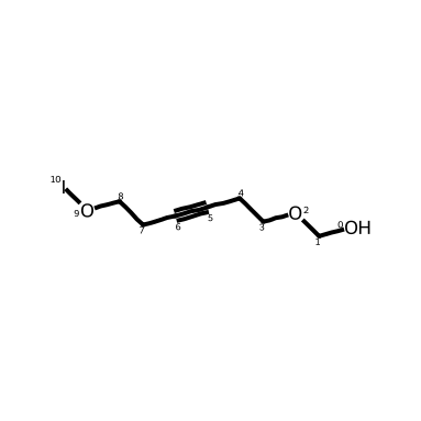 OCOCCC#CCCOI